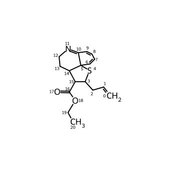 C=CCC1SC23C=CC=CC2=NCCC3C1C(=O)OCC